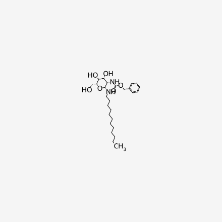 CCCCCCCCCCCCN[C@@H]1O[C@H](CO)[C@@H](O)[C@H](O)[C@@H]1NC(=O)OCc1ccccc1